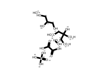 Cl.O=C(O)C(=O)O.O=C(O)CC(O)(CC(=O)O)C(=O)O.O=P(O)(O)O.O=S(=O)(O)O.OCC(O)CO